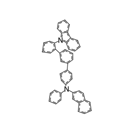 c1ccc(N(c2ccc(-c3cccc(-c4ccccc4-n4c5ccccc5c5ccccc54)c3)cc2)c2ccc3ccccc3c2)cc1